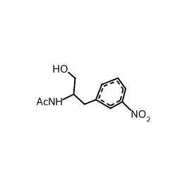 CC(=O)NC(CO)Cc1cccc([N+](=O)[O-])c1